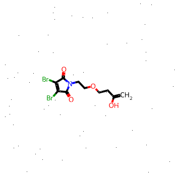 C=C(O)CCOCCN1C(=O)C(Br)=C(Br)C1=O